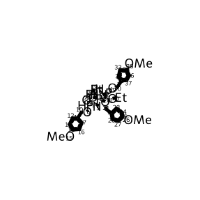 CCOP(N[PH](N=[PH](OCC)OCc1ccc(OC)cc1)(OCC)OCc1ccc(OC)cc1)OCc1ccc(OC)cc1